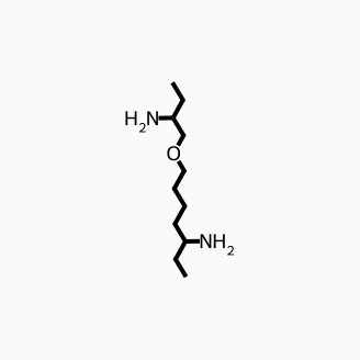 CCC(N)CCCCOCC(N)CC